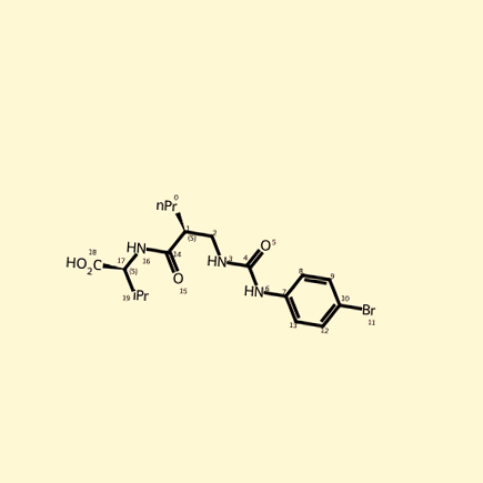 CCC[C@@H](CNC(=O)Nc1ccc(Br)cc1)C(=O)N[C@H](C(=O)O)C(C)C